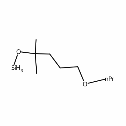 CCCOCCCC(C)(C)O[SiH3]